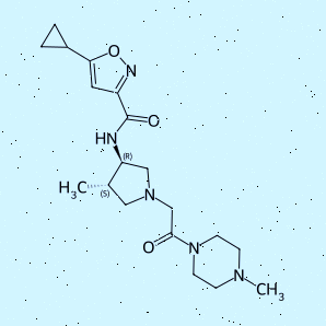 C[C@H]1CN(CC(=O)N2CCN(C)CC2)C[C@@H]1NC(=O)c1cc(C2CC2)on1